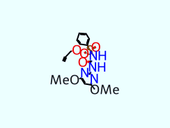 C#CCOc1ccccc1S(=O)(=O)NC(=O)Nc1nc(OC)cc(OC)n1